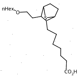 CCCCCCOCCC1C2CCC(S2)C1CCCCCCC(=O)O